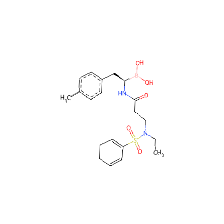 CCN(CCC(=O)N[C@@H](Cc1ccc(C)cc1)B(O)O)S(=O)(=O)C1=CCCC=C1